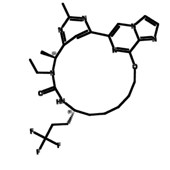 CCN1C(=O)N[C@@H](CCC(F)(F)F)CCCCCOc2nc(cn3ccnc23)-c2cc(nc(C)n2)[C@@H]1C